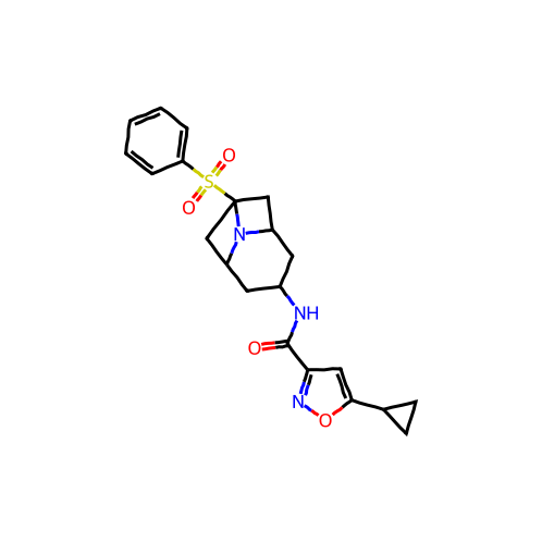 O=C(NC1CC2CC3(S(=O)(=O)c4ccccc4)CC(C1)N23)c1cc(C2CC2)on1